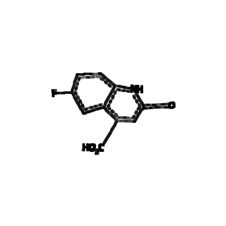 O=C(O)c1cc(=O)[nH]c2ccc(F)cc12